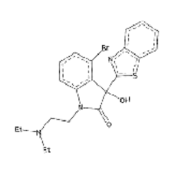 CCN(CC)CCN1C(=O)C(O)(c2nc3ccccc3s2)c2c(Br)cccc21